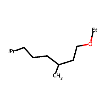 [CH2]COCCC(C)CCCC(C)C